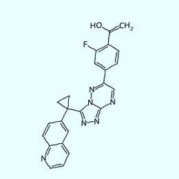 C=C(O)c1ccc(-c2cnc3nnc(C4(c5ccc6ncccc6c5)CC4)n3n2)cc1F